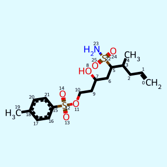 C=CCC(C)C(CC(O)CCOS(=O)(=O)c1ccc(C)cc1)S(N)(=O)=O